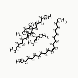 CC(C)O.CCCCCCCC/C=C\CCCCCCCCO.CCCCCCCCCCCCO.CCCO